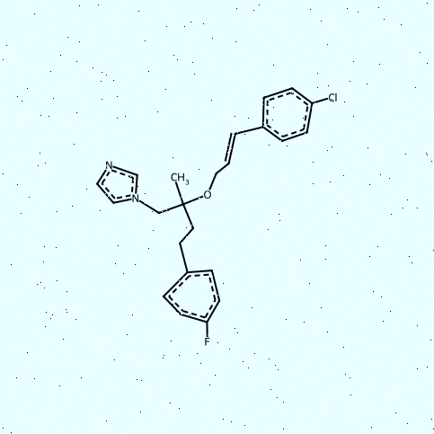 CC(CCc1ccc(F)cc1)(Cn1ccnc1)OCC=Cc1ccc(Cl)cc1